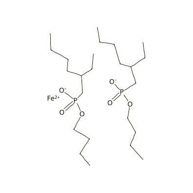 CCCCOP(=O)([O-])CC(CC)CCCC.CCCCOP(=O)([O-])CC(CC)CCCC.[Fe+2]